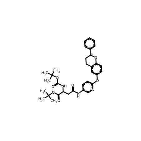 CC(C)(C)OC(=O)NC(CC(=O)Nc1ccc(Oc2ccc3c(c2)CC[C@@H](c2ccccc2)O3)nc1)C(=O)OC(C)(C)C